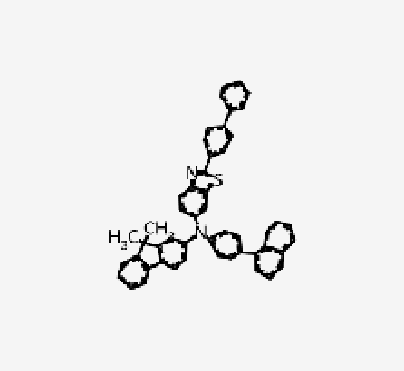 CC1(C)c2ccccc2-c2ccc(N(c3ccc(-c4cccc5ccccc45)cc3)c3ccc4nc(-c5ccc(-c6ccccc6)cc5)sc4c3)cc21